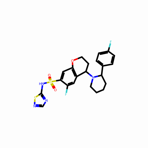 O=S(=O)(Nc1ncns1)c1cc2c(cc1F)C(N1CCCCC1c1ccc(F)cc1)CCO2